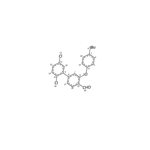 CC(C)(C)c1ccc(Oc2cc(-c3cc(Cl)ccc3Cl)ccc2C=O)cc1